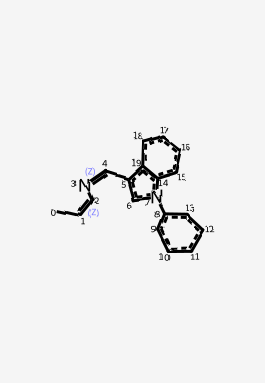 C/C=C\N=C/c1cn(-c2ccccc2)c2ccccc12